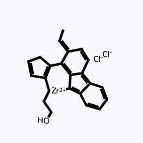 CC=c1ccc2c(c1C1=C(CCCO)C=CC1)[C]([Zr+2])=c1ccccc1=2.[Cl-].[Cl-]